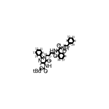 CC(C)(C)OC(=O)Nc1cnc(-c2ccccc2)n(CCCC(=O)NC(C(=O)NCCc2ccccc2)C2C=CC=CC2=O)c1=O